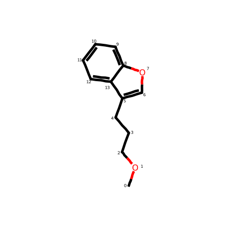 COCCCc1coc2ccccc12